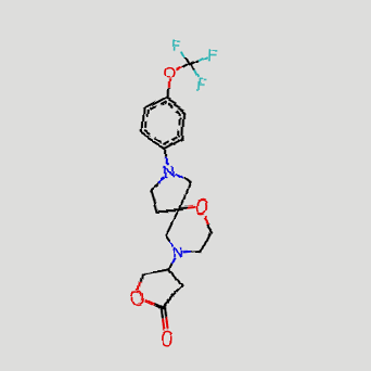 O=C1CC(N2CCOC3(CCN(c4ccc(OC(F)(F)F)cc4)C3)C2)CO1